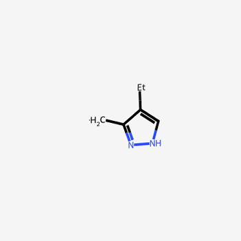 [CH2]c1n[nH]cc1CC